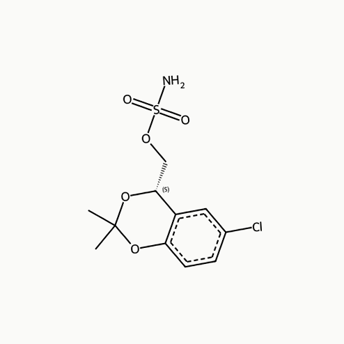 CC1(C)Oc2ccc(Cl)cc2[C@@H](COS(N)(=O)=O)O1